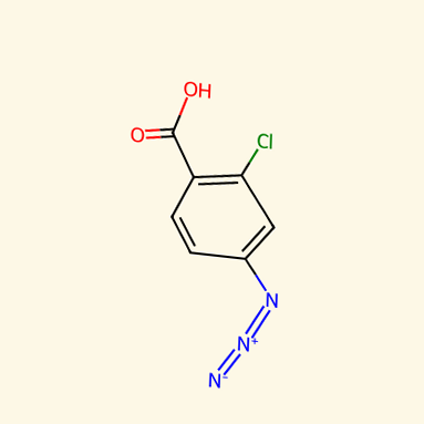 [N-]=[N+]=Nc1ccc(C(=O)O)c(Cl)c1